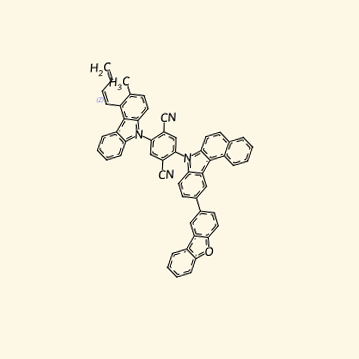 C=C/C=C\c1c(C)ccc2c1c1ccccc1n2-c1cc(C#N)c(-n2c3ccc(-c4ccc5oc6ccccc6c5c4)cc3c3c4ccccc4ccc32)cc1C#N